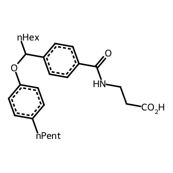 CCCCCCC(Oc1ccc(CCCCC)cc1)c1ccc(C(=O)NCCC(=O)O)cc1